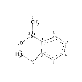 C[S+]([O-])c1ccccc1CN